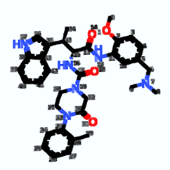 COc1ccc(CN(C)C)cc1NC(=O)[C@H](NC(=O)N1CCN(c2ccccc2C)C(=O)C1)[C@H](C)c1c[nH]c2ccccc12